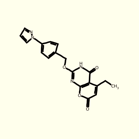 CCc1cc(=O)oc2nc(OCc3ccc(-n4cccn4)cc3)[nH]c(=O)c12